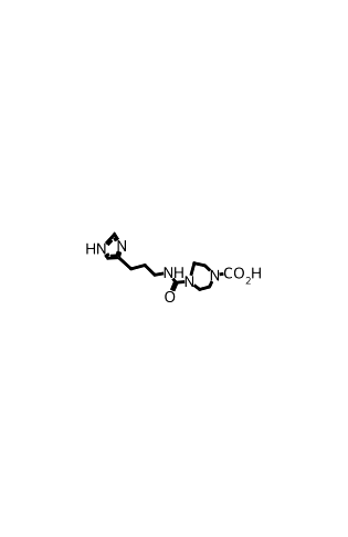 O=C(O)N1CCN(C(=O)NCCCc2c[nH]cn2)CC1